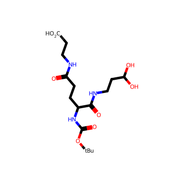 CC(C)(C)OC(=O)NC(CCC(=O)NCCC(=O)O)C(=O)NCCC(O)O